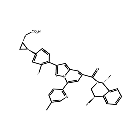 Cc1ccc(-c2cc(C(=O)N3C[C@H](F)c4ccccc4[C@H]3C)nc3cc(-c4ccc([C@H]5C[C@@H]5CC(=O)O)cc4F)nn23)nc1